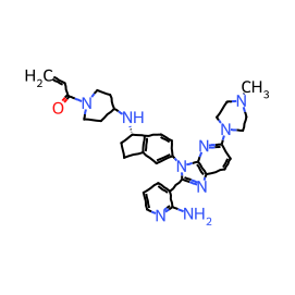 C=CC(=O)N1CCC(N[C@H]2CCc3cc(-n4c(-c5cccnc5N)nc5ccc(N6CCN(C)CC6)nc54)ccc32)CC1